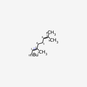 [CH2]CCC/C=C(\C)CCC=C(C)C